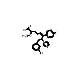 NOC(CC/C=C(/c1ccc(F)cc1)C(Cc1cccc(Cl)c1)n1ccnc1)C(=O)O